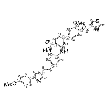 COc1ccc(-c2cn(CCc3ccc4c(c3)NC(=O)c3ccc(-c5ccc(OCc6cscn6)c(OC)c5)cc3N4)cn2)cc1